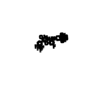 CC1(C)C(=O)N(c2ccc(F)c(C(F)(F)F)c2)C(=O)N1Cc1ccc(F)cc1NC1C=CC(N(S(C)(=O)=O)S(C)(=O)=O)=CC1